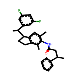 Cc1cc2c(c(C)c1NC(=O)CC(C)c1ccccc1)CCC2C(C)c1cc(F)cc(F)c1